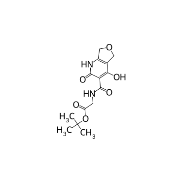 CC(C)(C)OC(=O)CNC(=O)c1c(O)c2c([nH]c1=O)COC2